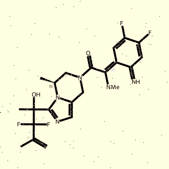 C=C(C)C(F)(F)C(C)(O)c1ncc2n1[C@@H](C)CN(C(=O)/C(NC)=C1\C=C(F)C(F)=CC1=N)C2